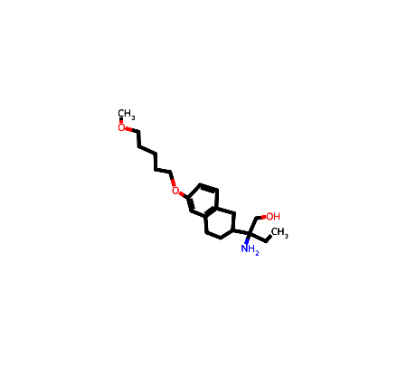 CCC(N)(CO)C1CCc2cc(OCCCCCOC)ccc2C1